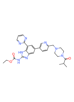 CCOC(=O)Nc1nc2cc(-c3ccc(CN4CCN(C(=O)C(C)C)CC4)nc3)cc(-c3ncccn3)c2[nH]1